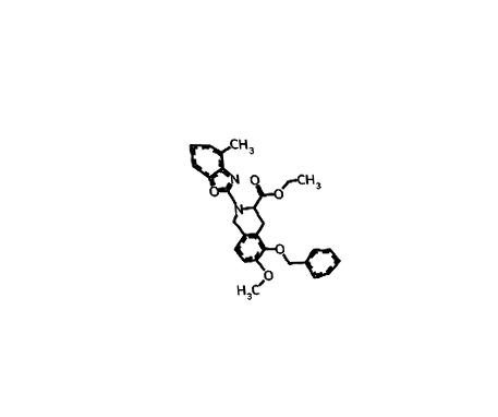 CCOC(=O)C1Cc2c(ccc(OC)c2OCc2ccccc2)CN1c1nc2c(C)cccc2o1